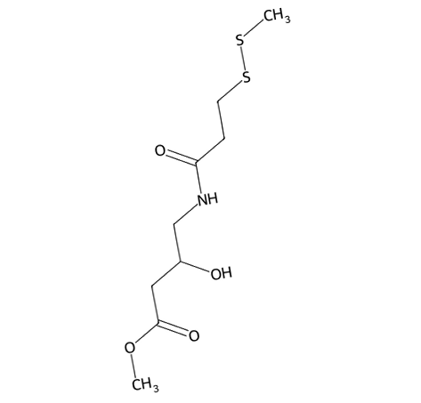 COC(=O)CC(O)CNC(=O)CCSSC